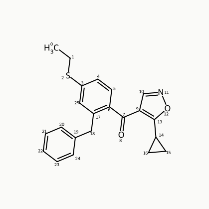 CCSc1ccc(C(=O)c2cnoc2C2CC2)c(Cc2ccccc2)c1